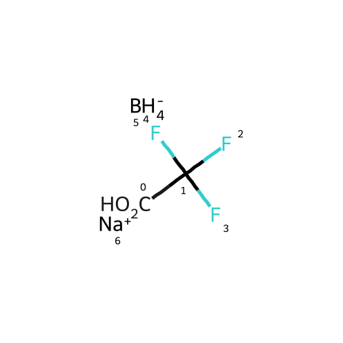 O=C(O)C(F)(F)F.[BH4-].[Na+]